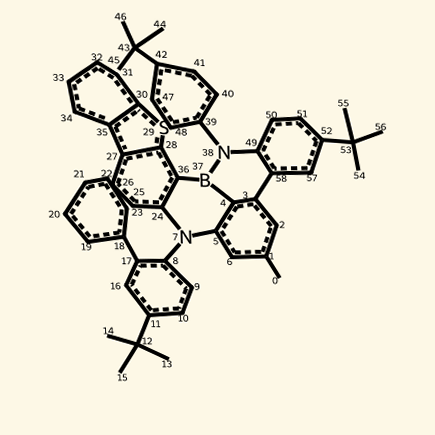 Cc1cc2c3c(c1)N(c1ccc(C(C)(C)C)cc1-c1ccccc1)c1ccc4c(sc5ccccc54)c1B3N(c1ccc(C(C)(C)C)cc1)c1ccc(C(C)(C)C)cc1-2